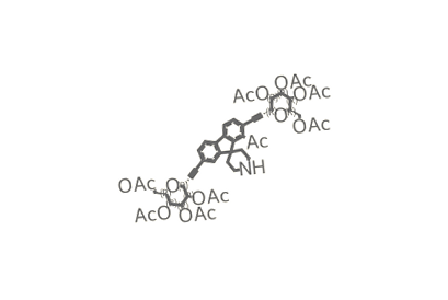 CC(=O)OC[C@H]1O[C@H](C#Cc2ccc3c(c2)C2(CCNCC2)c2c-3ccc(C#C[C@H]3O[C@H](COC(C)=O)[C@@H](OC(C)=O)[C@H](OC(C)=O)[C@@H]3OC(C)=O)c2C(C)=O)[C@@H](OC(C)=O)[C@@H](OC(C)=O)[C@@H]1OC(C)=O